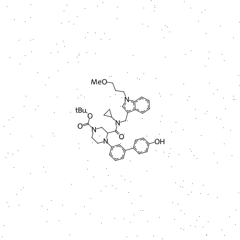 COCCCn1cc(CN(C(=O)C2CN(C(=O)OC(C)(C)C)CCN2c2cccc(-c3ccc(O)cc3)c2)C2CC2)c2ccccc21